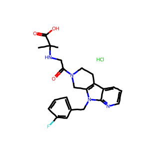 CC(C)(NCC(=O)N1CCc2c(n(Cc3cccc(F)c3)c3ncccc23)C1)C(=O)O.Cl